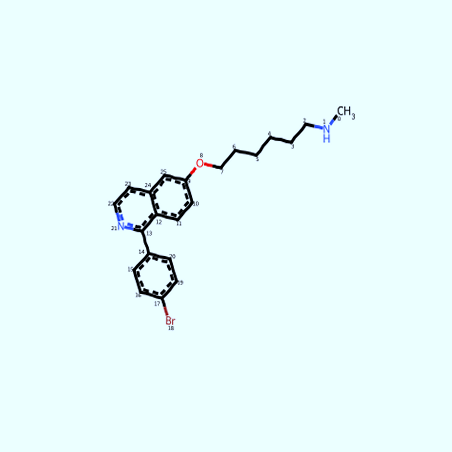 CNCCCCCCOc1ccc2c(-c3ccc(Br)cc3)nccc2c1